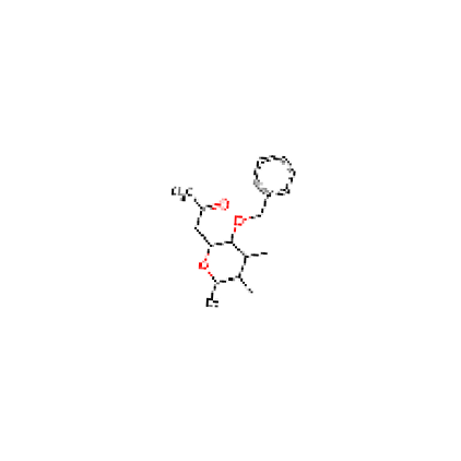 CCC1OC(CC(=O)C(Cl)(Cl)Cl)C(OCc2ccccc2)C(C)C1C